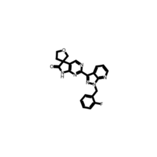 O=C1Nc2nc(-c3nn(Cc4ccccc4F)c4ncccc34)ncc2C12CCOC2